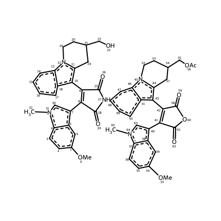 COc1ccc2c(c1)c(C1=C(c3c4n(c5ccccc35)CCC(CO)C4)C(=O)NC1=O)cn2C.COc1ccc2c(c1)c(C1=C(c3c4n(c5ccccc35)CCC(COC(C)=O)C4)C(=O)OC1=O)cn2C